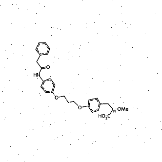 CO[C@@H](Cc1ccc(OCCCOc2ccc(NC(=O)Cc3ccccc3)cc2)cc1)C(=O)O